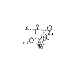 C[C@@H](NC(=O)[C@@H](N)Cc1ccc(O)cc1)C(=O)Nc1ccccc1CCCC(=O)NCCN(C)C.Cl.Cl.O